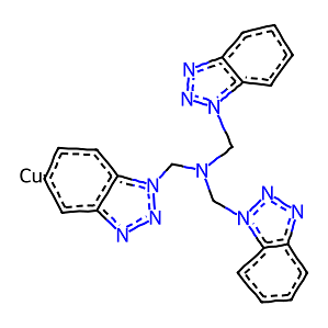 [Cu].c1ccc2c(c1)nnn2CN(Cn1nnc2ccccc21)Cn1nnc2ccccc21